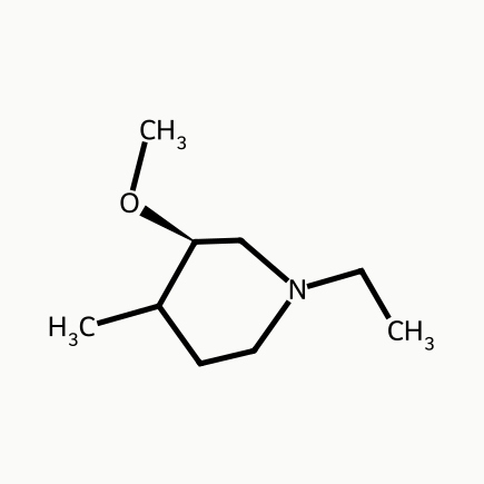 CCN1CCC(C)[C@@H](OC)C1